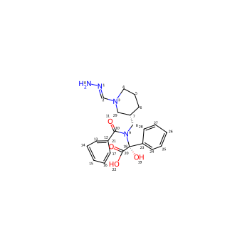 NN=CN1CCC[C@H](CN(C(=O)c2ccccc2)[C@](O)(C(=O)O)c2ccccc2)C1